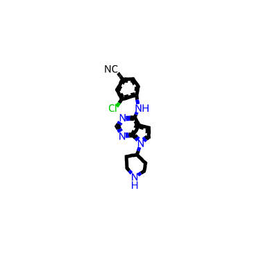 N#Cc1ccc(Nc2ncnc3c2ccn3C2CCNCC2)c(Cl)c1